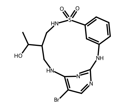 CC(O)C1CNc2nc(ncc2Br)Nc2cccc(c2)S(=O)(=O)NC1